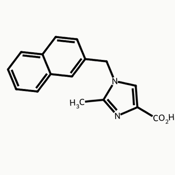 Cc1nc(C(=O)O)cn1Cc1ccc2ccccc2c1